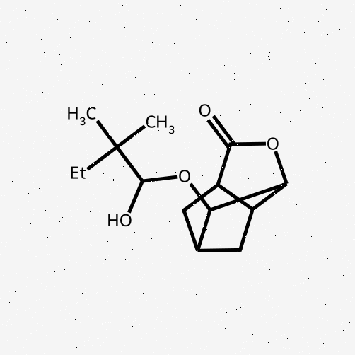 CCC(C)(C)C(O)OC1C2CC3C(=O)OC1C3C2